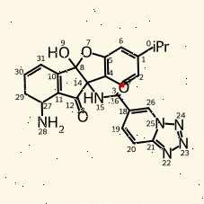 CC(C)c1ccc2c(c1)OC1(O)C3=C(C(=O)C21NC(=O)c1ccc2nnnn2c1)C(N)CC=C3